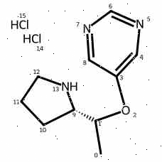 CC(Oc1cncnc1)[C@@H]1CCCN1.Cl.Cl